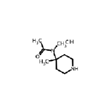 CC(=O)N(C)C1(C)CCNCC1.Cl